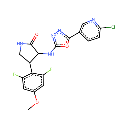 COc1cc(F)c(C2CNC(=O)C2Nc2nnc(-c3ccc(Cl)nc3)o2)c(F)c1